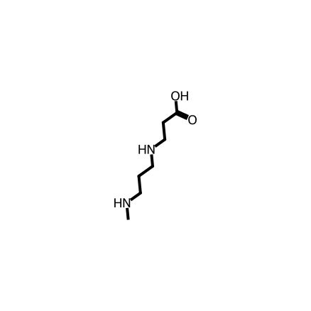 CNCCCNCCC(=O)O